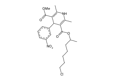 COC(=O)C1=C(C)NC(C)=C(C(=O)OC(C)CCCCCCl)C1c1cccc([N+](=O)[O-])c1